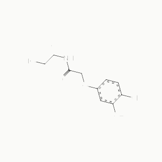 CC[C@@H](CO)NC(=O)COc1ccc(Cl)c(C)c1